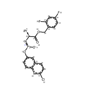 CC(C)[C@H](/N=[P+](\[O-])Oc1ccc2nc(Cl)ccc2c1)C(=O)OCc1ccc(F)cc1F